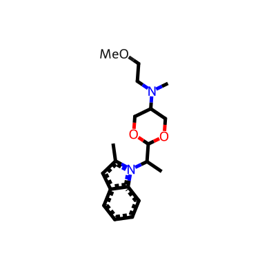 COCCN(C)C1COC(C(C)n2c(C)cc3ccccc32)OC1